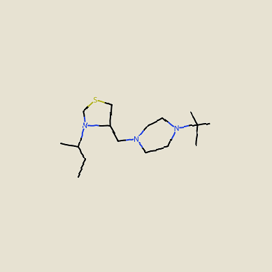 CCC(C)N1CSCC1CN1CCN(C(C)(C)C)CC1